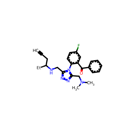 C#CCC(CC)NCc1nnc(CN(C)C)n1-c1ccc(F)cc1C(=O)c1ccccc1